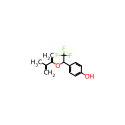 C=C(C)C(=C)OC(c1ccc(O)cc1)C(F)(F)F